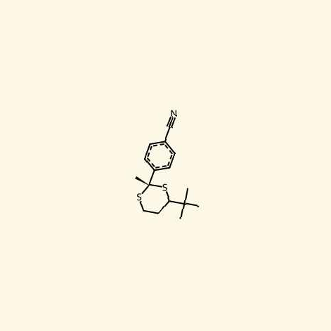 CC(C)(C)C1CCS[C@](C)(c2ccc(C#N)cc2)S1